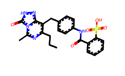 CCCc1nc(C)n2c(=O)[nH]nc2c1Cc1ccc(NC(=O)c2ccccc2S(=O)(=O)O)cc1